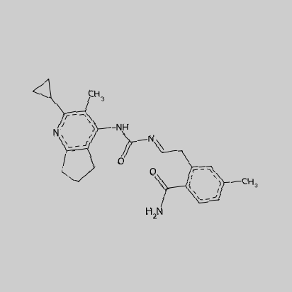 Cc1ccc(C(N)=O)c(C/C=N/C(=O)Nc2c(C)c(C3CC3)nc3c2CCC3)c1